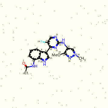 CCC(=O)Nc1cccc2c(-c3nc(Nc4cn(C)nc4OC)ncc3F)c[nH]c12